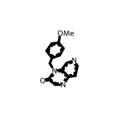 COc1ccc(Cn2c(=O)cnc3ccncc32)cc1